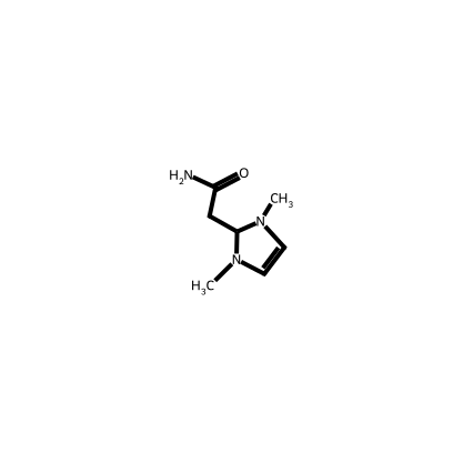 CN1C=CN(C)C1CC(N)=O